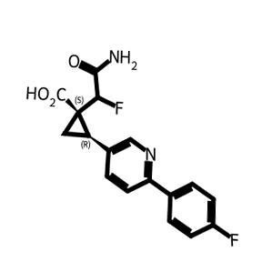 NC(=O)C(F)[C@@]1(C(=O)O)C[C@@H]1c1ccc(-c2ccc(F)cc2)nc1